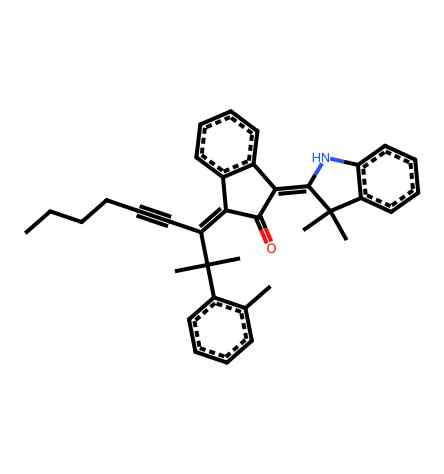 CCCCC#C/C(=C1/C(=O)/C(=C2/Nc3ccccc3C2(C)C)c2ccccc21)C(C)(C)c1ccccc1C